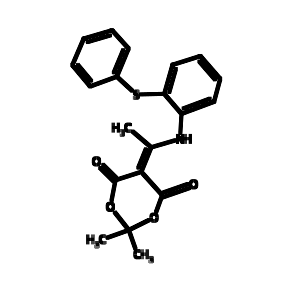 CC(Nc1ccccc1Sc1ccccc1)=C1C(=O)OC(C)(C)OC1=O